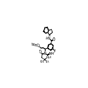 CCC1(CC)CC(=O)N(C(CCOC)c2cc(F)cc(C(=O)N[C@H]3CCc4ccccc43)c2)C(=N)N1